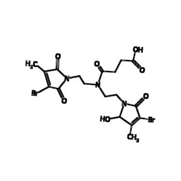 CC1=C(Br)C(=O)N(CCN(CCN2C(=O)C(Br)=C(C)C2O)C(=O)CCC(=O)O)C1=O